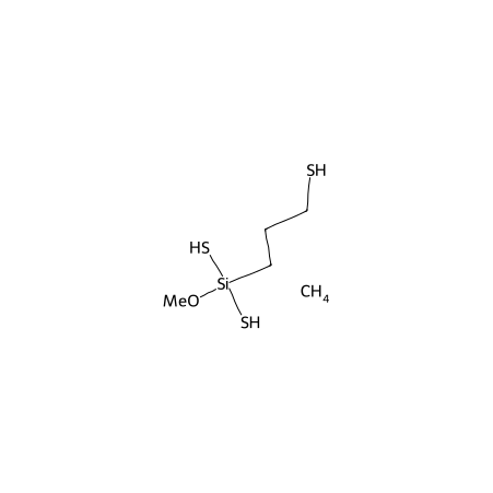 C.CO[Si](S)(S)CCCS